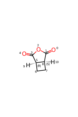 O=C1OC(=O)[C@@H]2CC[C@H]12